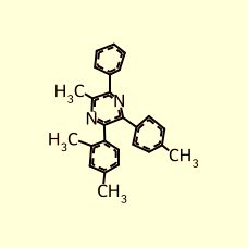 Cc1ccc(-c2nc(-c3ccccc3)c(C)nc2-c2ccc(C)cc2C)cc1